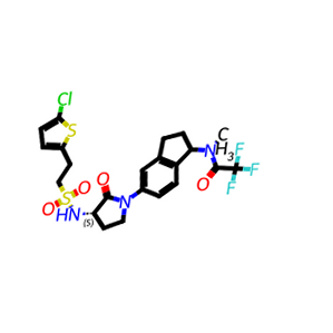 CN(C(=O)C(F)(F)F)C1CCc2cc(N3CC[C@H](NS(=O)(=O)CCc4ccc(Cl)s4)C3=O)ccc21